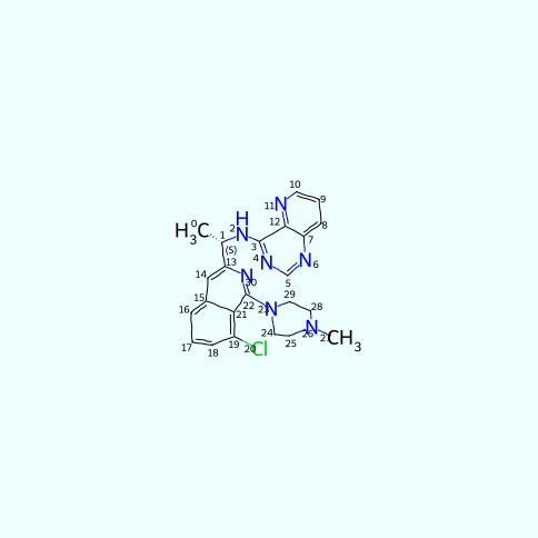 C[C@H](Nc1ncnc2cccnc12)c1cc2cccc(Cl)c2c(N2CCN(C)CC2)n1